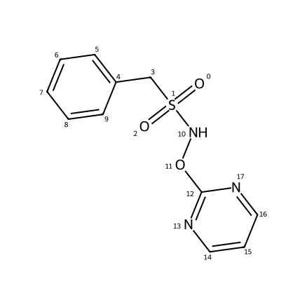 O=S(=O)(Cc1ccccc1)NOc1ncccn1